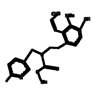 CNc1c(O)ccc(CCN(Cc2ccc(C)nc2)C(=O)OC(C)(C)C)c1/C=C\C=O